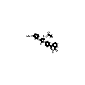 COc1cccc(OC2CCN(c3ccc(-c4n[nH]c(=O)c5ccccc45)cc3)C2=O)c1.O=C(O)C(F)(F)F